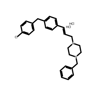 Cl.Cl.Clc1ccc(Cc2ccc(C=CCN3CCN(Cc4ccccc4)CC3)cc2)cc1